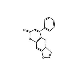 O=c1cc(-c2ccccc2)c2cc3ccoc3cc2o1